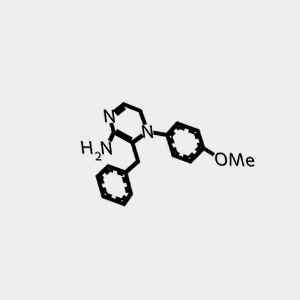 COc1ccc(N2CC=NC(N)=C2Cc2ccccc2)cc1